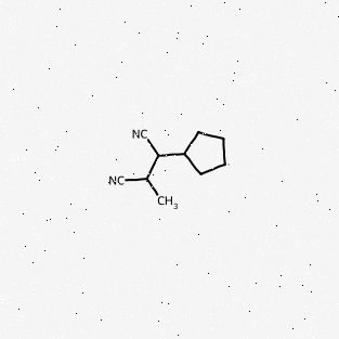 C[C](C#N)C(C#N)C1C[CH]CC1